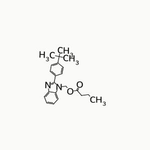 CCCC(=O)OCn1c(-c2ccc(C(C)(C)C)cc2)nc2ccccc21